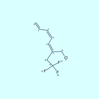 C=C/C=C\C=C(/CCl)CC(F)(F)F